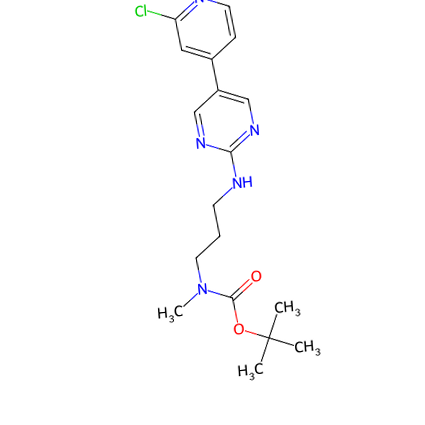 CN(CCCNc1ncc(-c2ccnc(Cl)c2)cn1)C(=O)OC(C)(C)C